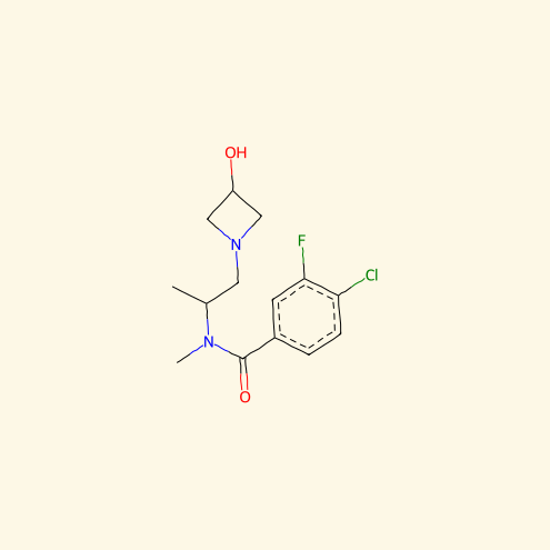 CC(CN1CC(O)C1)N(C)C(=O)c1ccc(Cl)c(F)c1